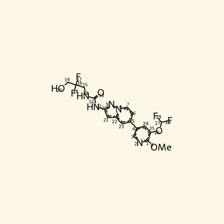 COc1ncc(-c2ccn3nc(NC(=O)NCC(F)(F)CO)cc3c2)cc1OC(F)F